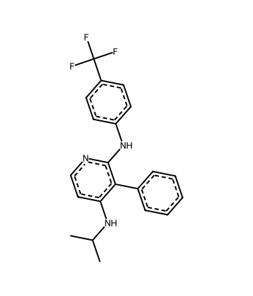 CC(C)Nc1ccnc(Nc2ccc(C(F)(F)F)cc2)c1-c1ccccc1